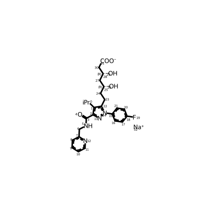 CC(C)c1c(C(=O)NCc2ccccn2)nn(-c2ccc(F)cc2)c1CC[C@@H](O)C[C@@H](O)CC(=O)[O-].[Na+]